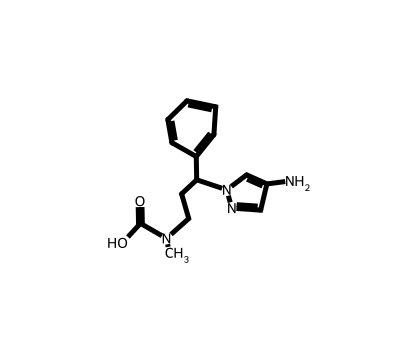 CN(CCC(c1ccccc1)n1cc(N)cn1)C(=O)O